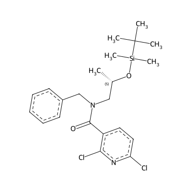 C[C@@H](CN(Cc1ccccc1)C(=O)c1ccc(Cl)nc1Cl)O[Si](C)(C)C(C)(C)C